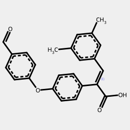 Cc1cc(C)cc(/C=C(/C(=O)O)c2ccc(Oc3ccc(C=O)cc3)cc2)c1